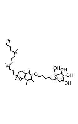 Cc1c(C)c2c(c(C)c1OCCCCCN1C[C@H](O)[C@@H](O)[C@H](O)[C@H]1CO)CC[C@@](C)(CCC[C@H](C)CCC[C@H](C)CCCC(C)C)O2